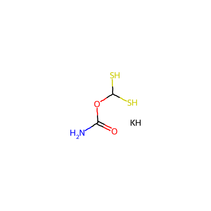 NC(=O)OC(S)S.[KH]